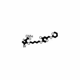 COC(=O)c1scc(Br)c1OCCCCCOc1coc(COC2CCCCO2)cc1=O